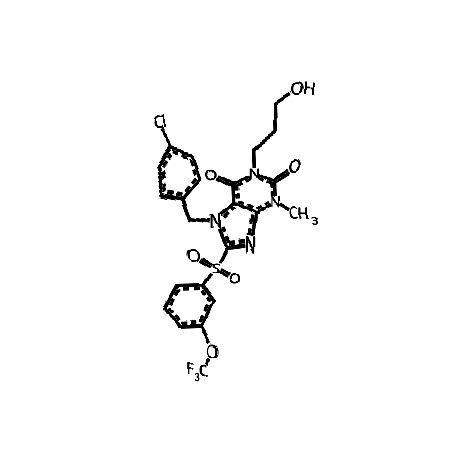 Cn1c(=O)n(CCCO)c(=O)c2c1nc(S(=O)(=O)c1cccc(OC(F)(F)F)c1)n2Cc1ccc(Cl)cc1